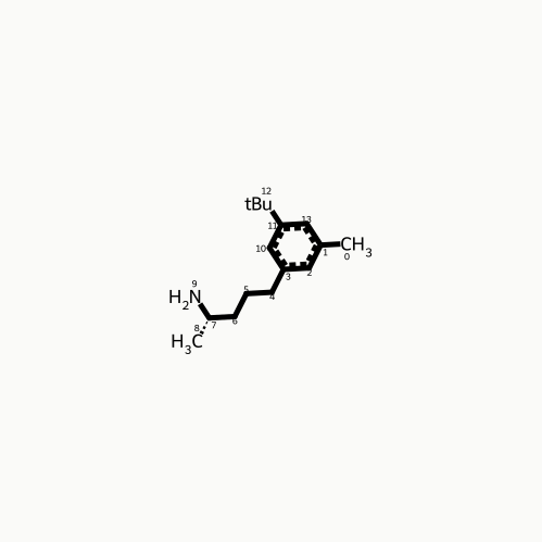 Cc1cc(CCC[C@H](C)N)cc(C(C)(C)C)c1